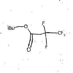 CCC(C)OC(=O)C(F)(F)C(F)(F)F